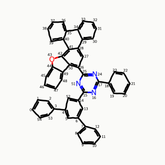 c1ccc(-c2cc(-c3ccccc3)cc(-c3nc(-c4ccccc4)nc(-c4cc5c6ccccc6c6ccccc6c5c5oc6ccccc6c45)n3)c2)cc1